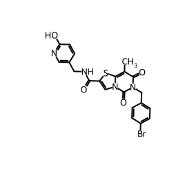 Cc1c(=O)n(Cc2ccc(Br)cc2)c(=O)n2cc(C(=O)NCc3ccc(O)nc3)sc12